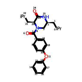 CC(C)C[C@H]1CN(C(=O)c2ccc(Oc3ccccc3)cc2)[C@@H](CC(C)C)C(=O)N1